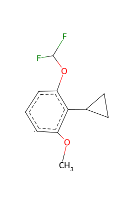 COc1[c]ccc(OC(F)F)c1C1CC1